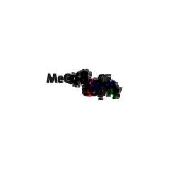 COc1cc(C)c(-c2cc([C@@H](CC(=O)O)NC(=O)[C@@H](CC(C)C)n3cc(C4CCN(CC5CC5(F)F)CC4)c(C(F)(F)F)cc3=O)cc3c2CCC3)c(C)c1